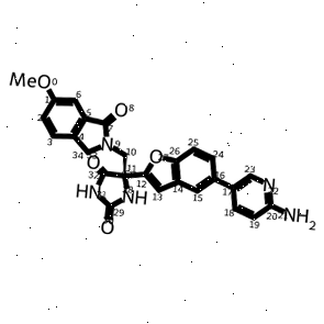 COc1ccc2c(c1)C(=O)N(C[C@@]1(c3cc4cc(-c5ccc(N)nc5)ccc4o3)NC(=O)NC1=O)C2